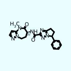 CN1C(=O)[C@@H](NC(=O)c2nc3n(n2)C(c2ccccc2)CC3)CCn2nccc21